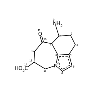 NC1CCc2ccn3c2C1C(=O)CC(C(=O)O)C3